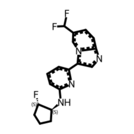 FC(F)c1ccc2ncc(-c3cccc(N[C@H]4CCC[C@@H]4F)n3)n2c1